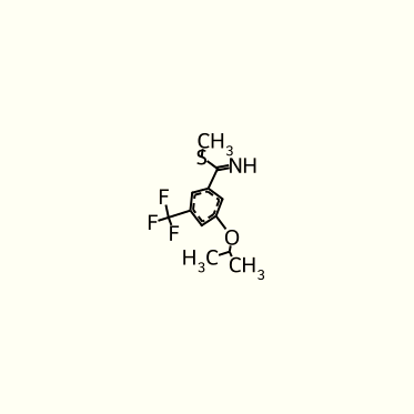 CSC(=N)c1cc(OC(C)C)cc(C(F)(F)F)c1